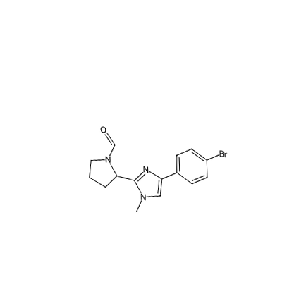 Cn1cc(-c2ccc(Br)cc2)nc1C1CCCN1C=O